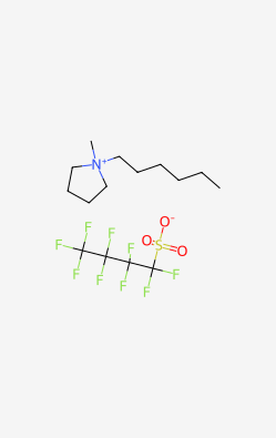 CCCCCC[N+]1(C)CCCC1.O=S(=O)([O-])C(F)(F)C(F)(F)C(F)(F)C(F)(F)F